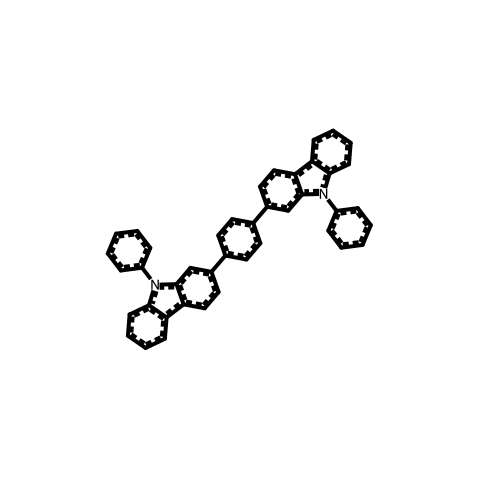 c1ccc(-n2c3ccccc3c3ccc(-c4ccc(-c5ccc6c7ccccc7n(-c7ccccc7)c6c5)cc4)cc32)cc1